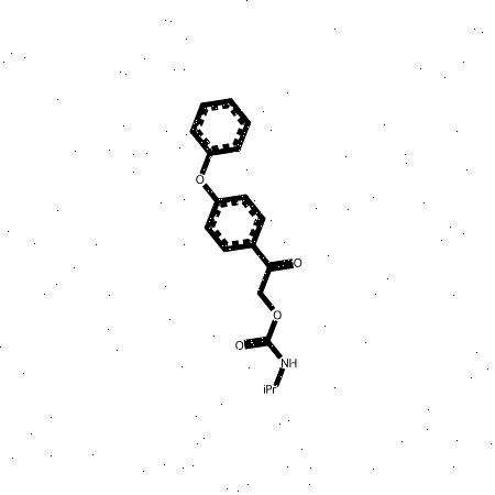 CC(C)NC(=O)OCC(=O)c1ccc(Oc2ccccc2)cc1